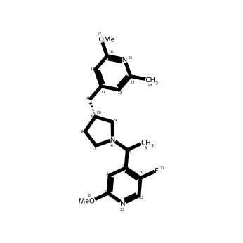 COc1cc(C(C)N2CC[C@H](Cc3cc(C)nc(OC)c3)C2)c(F)cn1